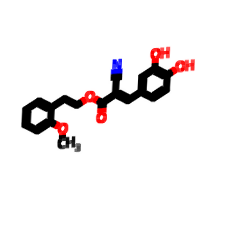 COc1ccccc1CCOC(=O)C(C#N)=Cc1ccc(O)c(O)c1